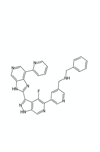 Fc1c(-c2cncc(CNCc3ccccc3)c2)ncc2[nH]nc(-c3nc4c(-c5ccccn5)cncc4[nH]3)c12